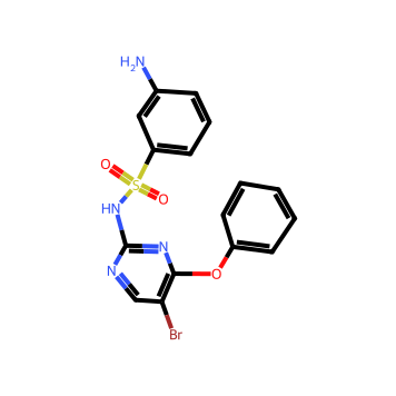 Nc1cccc(S(=O)(=O)Nc2ncc(Br)c(Oc3ccccc3)n2)c1